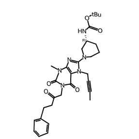 CC#CCn1c(N2CCC[C@@H](NC(=O)OC(C)(C)C)C2)nc2c1c(=O)n(CC(=O)CCc1ccccc1)c(=O)n2C